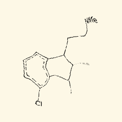 CNCCC1c2cccc(Cl)c2C(C)[C@H]1C